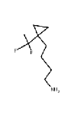 NCCCCC1(C(F)(F)F)CC1